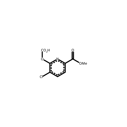 COC(=O)c1ccc(Cl)c(OC(=O)O)n1